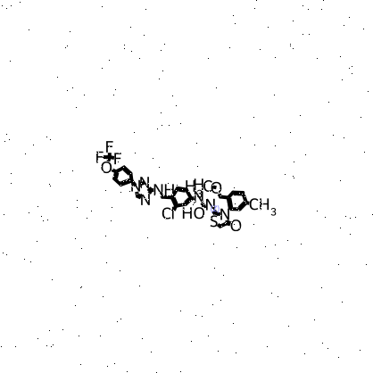 COCc1ccc(C)cc1N1C(=O)CS/C1=N\C(O)Nc1ccc(CNc2ncn(-c3ccc(OC(F)(F)F)cc3)n2)c(Cl)c1